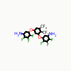 Nc1cc(Oc2cc(Oc3cc(N)c(F)c(F)c3F)c(C(F)(F)F)c(C(F)(F)F)c2)c(F)c(F)c1F